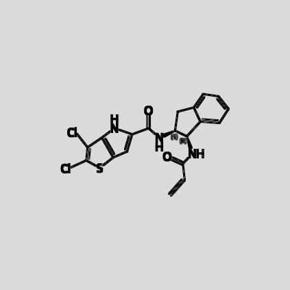 C=CC(=O)N[C@@H]1c2ccccc2C[C@@H]1NC(=O)c1cc2sc(Cl)c(Cl)c2[nH]1